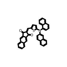 O=C1C(=Cc2ccc(N(c3ccc4ccccc4c3)c3cccc4ccccc34)s2)C(=O)c2cc3ccccc3cc21